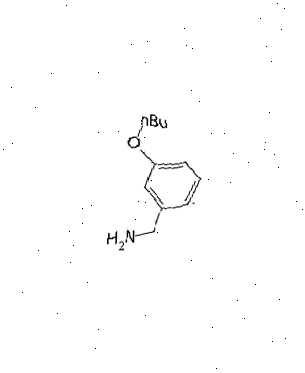 CCCCOc1cc[c]c(CN)c1